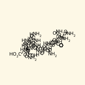 CC(C)C[C@H](NC(=O)[C@H](C)NC(=O)[C@H](CC(N)=O)NC(=O)CNC(=O)[C@H](CC(N)=O)NC(=O)[C@@H]1CCCN1C(=O)[C@H](CC(N)=O)NC(=O)C(C)(C)NC(=O)[C@H](C)NC(=O)[C@H](Cc1ccccc1)NC(=O)[C@H](CCC(N)=O)NC(=O)[C@@H](N)CCC(N)=O)C(=O)N[C@@H](CC(=O)O)C(=O)N[C@@H](CCC(=O)O)C(=O)N[C@@H](CO)C(N)=O